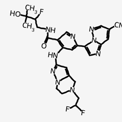 CC(C)(O)C(F)CNC(=O)c1cnc(-c2cnc3cc(C#N)cnn23)cc1Nc1cc2n(n1)CCN(CC(F)F)C2